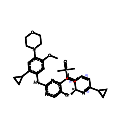 COc1cc(Nc2ncc(Br)c(NC(C)[C@H](C)\N=C(/C=C\C=C/P(C)(C)=O)C3CC3)n2)c(C2CC2)cc1N1CCOCC1